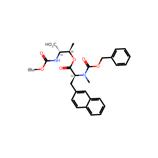 C[C@@H](OC(=O)[C@H](Cc1ccc2ccccc2c1)N(C)C(=O)OCc1ccccc1)[C@H](NC(=O)OC(C)(C)C)C(=O)O